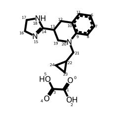 O=C(O)C(=O)O.c1ccc2c(c1)CC(C1=NCCN1)CN2CC1CC1